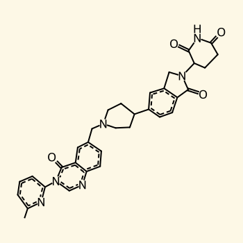 Cc1cccc(-n2cnc3ccc(CN4CCC(c5ccc6c(c5)CN(C5CCC(=O)NC5=O)C6=O)CC4)cc3c2=O)n1